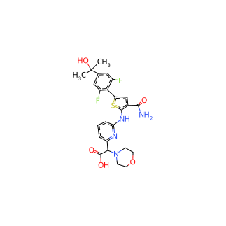 CC(C)(O)c1cc(F)c(-c2cc(C(N)=O)c(Nc3cccc(C(C(=O)O)N4CCOCC4)n3)s2)c(F)c1